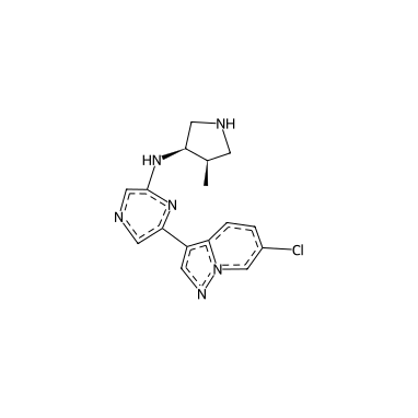 C[C@@H]1CNC[C@@H]1Nc1cncc(-c2cnn3cc(Cl)ccc23)n1